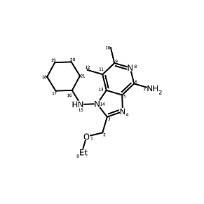 CCOCc1nc2c(N)nc(C)c(C)c2n1NC1CCCCC1